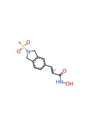 CS(=O)(=O)N1Cc2ccc(/C=C/C(=O)NO)cc2C1